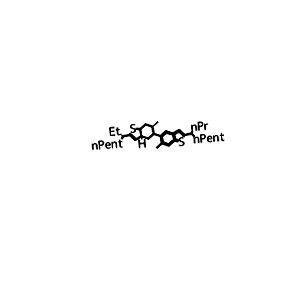 CCCCCC(CCC)c1cc2cc(C3C[C@H]4C=C([C@@H](CC)CCCCC)SC4C[C@H]3C)c(C)cc2s1